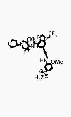 COc1ccc(S(C)(=O)=O)cc1NCC#Cc1cc(C(=O)N[C@@H]2[C@@H](C)CN(C3CCOCC3)CC2(F)F)c2ncn(CC(F)(F)F)c2c1